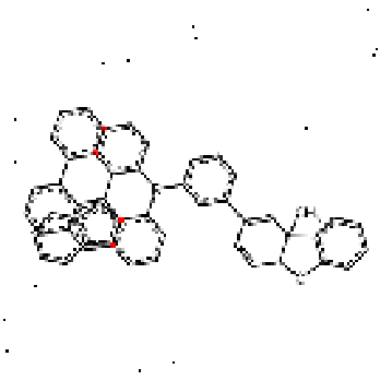 CC12C=C(c3cccc(N(c4ccccc4-c4cccc5cccc(-c6ccccc6)c45)c4cccc5c4sc4ccccc45)c3)C=CC1Oc1ccccc12